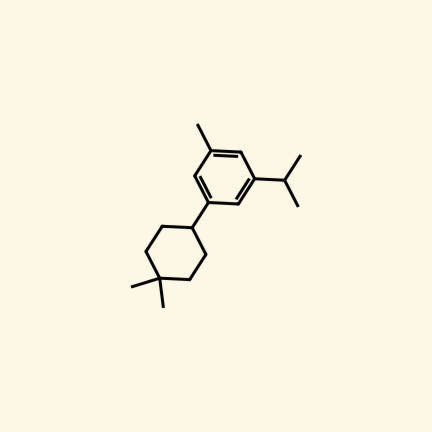 Cc1cc(C(C)C)cc(C2CCC(C)(C)CC2)c1